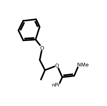 CCC/C(=C/NC)OC(C)COc1ccccc1